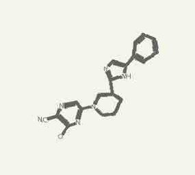 N#Cc1ncc(N2CCCC(c3ncc(-c4ccccc4)[nH]3)C2)nc1Cl